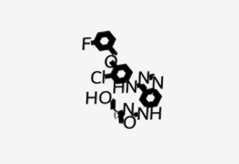 OCC[C@H]1COC(Nc2ccc3ncnc(Nc4ccc(OCc5cccc(F)c5)c(Cl)c4)c3c2)=N1